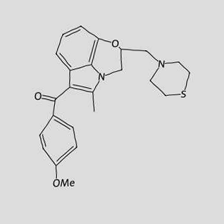 COc1ccc(C(=O)c2c(C)n3c4c(cccc24)OC(CN2CCSCC2)C3)cc1